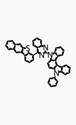 c1ccc(-n2c3ccccc3c3c4c5ccccc5n(-c5nc(-c6cccc7c6sc6cc8ccccc8cc67)c6ccccc6n5)c4ccc32)cc1